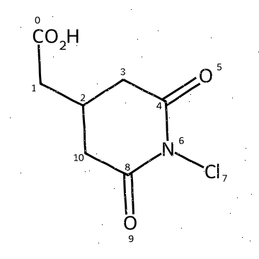 O=C(O)CC1CC(=O)N(Cl)C(=O)C1